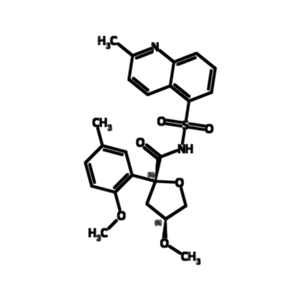 COc1ccc(C)cc1[C@@]1(C(=O)NS(=O)(=O)c2cccc3nc(C)ccc23)C[C@H](OC)CO1